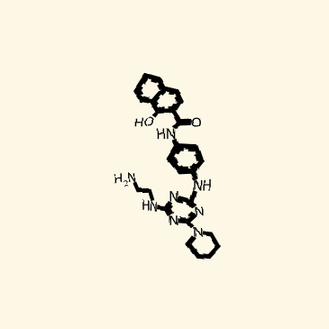 NCCNc1nc(Nc2ccc(NC(=O)c3ccc4ccccc4c3O)cc2)nc(N2CCCCC2)n1